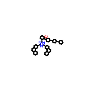 c1ccc(-c2ccc(-c3ccc4c(c3)oc3cccc(-c5nc(-c6ccc7ccc8ccccc8c7c6)nc(-c6ccc7ccc8ccccc8c7c6)n5)c34)cc2)cc1